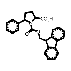 O=C(O)C1CCC(c2ccccc2)N1C(=O)OCC1c2ccccc2-c2ccccc21